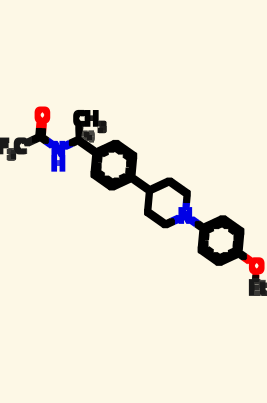 CCOc1ccc(N2CCC(c3ccc([C@H](C)NC(=O)C(F)(F)F)cc3)CC2)cc1